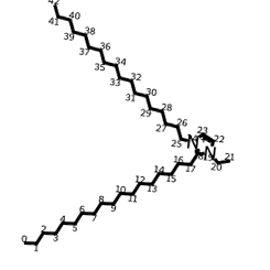 CCCCCCCCCCCCCCCCCCc1n(CC)cc[n+]1CCCCCCCCCCCCCCCCCC